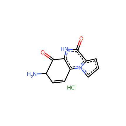 Cl.NC1C=Cc2c([nH]c(=O)c3cccn23)C1=O